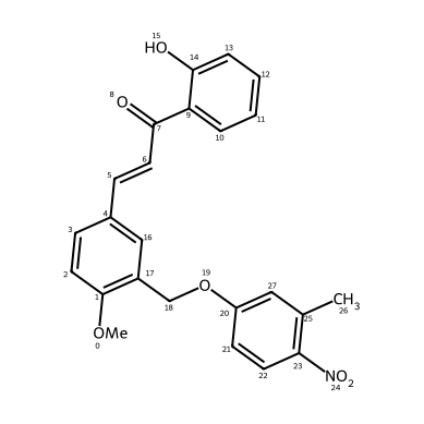 COc1ccc(C=CC(=O)c2ccccc2O)cc1COc1ccc([N+](=O)[O-])c(C)c1